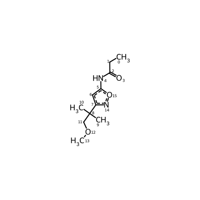 CCC(=O)Nc1cc(C(C)(C)COC)no1